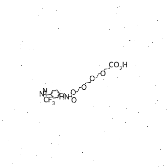 O=C(O)CCOCCOCCOCCOC(=O)NCc1ccc(C2(C(F)(F)F)N=N2)cc1